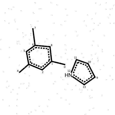 Cc1cc(C)cc(C)c1.c1cc[nH]c1